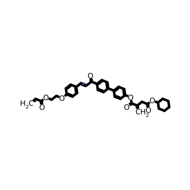 C=CC(=O)OCCOc1ccc(/C=C/C(=O)c2ccc(-c3ccc(OC(=O)C(=C)CC(=O)OC4CCCCC4)cc3)cc2)cc1